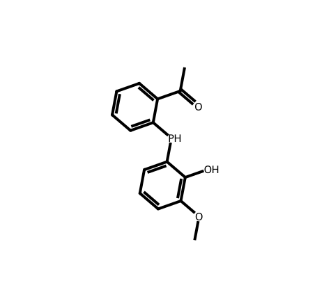 COc1cccc(Pc2ccccc2C(C)=O)c1O